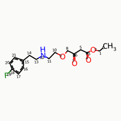 CCOC(=O)CC(=O)COCCNCCc1ccc(F)cc1